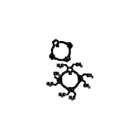 C1=Cc2cc3ccc(cc4nc(cc5ccc(cc1n2)[nH]5)C=C4)[nH]3.CCC1=C(CC)c2cc3[nH]c(cc4nc(cc5[nH]c(cc1n2)c(CC)c5CC)C(CC)=C4CC)c(CC)c3CC